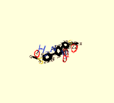 CC(=O)Sc1ccc(-c2cc([N+](=O)[O-])c(-c3ccc(SC(C)=O)cc3)cc2N)cc1